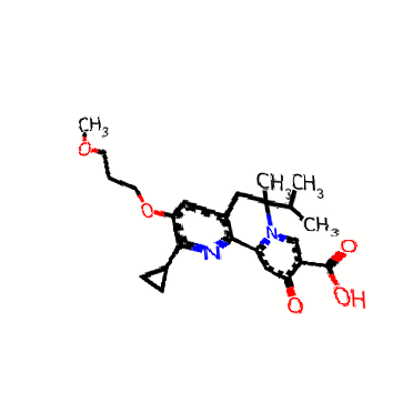 COCCCOc1cc2c(nc1C1CC1)-c1cc(=O)c(C(=O)O)cn1C(C)(C(C)C)C2